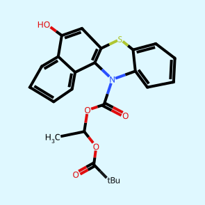 CC(OC(=O)N1c2ccccc2Sc2cc(O)c3ccccc3c21)OC(=O)C(C)(C)C